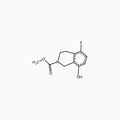 COC(=O)N1CCc2c(F)ccc(O)c2C1